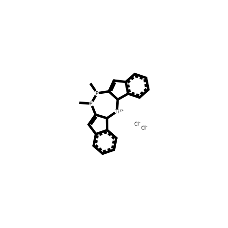 CP1C2=Cc3ccccc3[CH]2[Ti+2][CH]2C(=Cc3ccccc32)P1C.[Cl-].[Cl-]